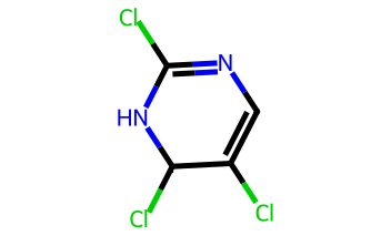 Cl[C]1NC(Cl)=NC=C1Cl